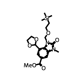 COC(=O)c1cc(C2OCCO2)c2c(c1)n(C)c(=O)n2COCC[Si](C)(C)C